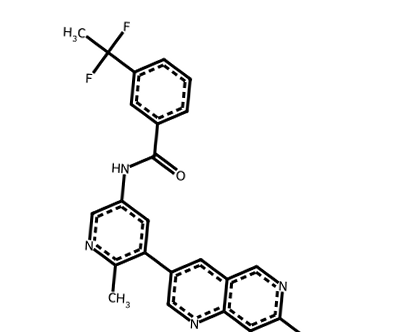 CNc1cc2ncc(-c3cc(NC(=O)c4cccc(C(C)(F)F)c4)cnc3C)cc2cn1